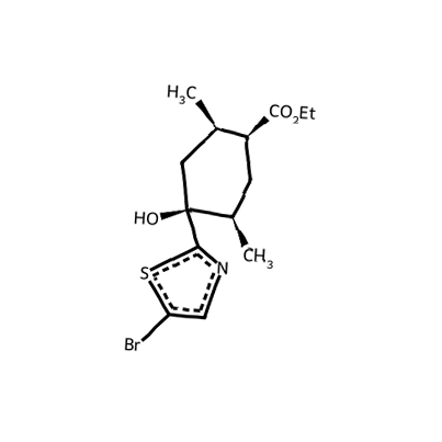 CCOC(=O)[C@H]1C[C@@H](C)[C@](O)(c2ncc(Br)s2)C[C@H]1C